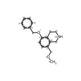 COCc1ccc(OCc2ccccc2)c2c1CNCC2